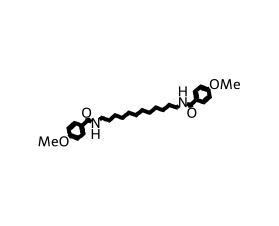 COc1ccc(C(=O)NCCCCCCCCCCCCNC(=O)c2ccc(OC)cc2)cc1